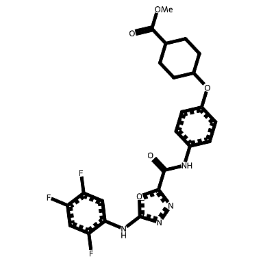 COC(=O)C1CCC(Oc2ccc(NC(=O)c3nnc(Nc4cc(F)c(F)cc4F)o3)cc2)CC1